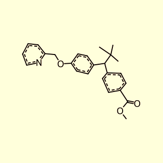 COC(=O)c1ccc(C(c2ccc(OCc3ccccn3)cc2)C(C)(C)C)cc1